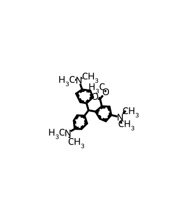 COC(=O)c1cc(N(C)C)ccc1C(c1ccc(N(C)C)cc1)c1ccc(N(C)C)cc1